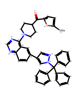 CSc1ccc(C(=O)C2CCN(c3ncnc4ccc(-c5cnn(C(c6ccccc6)(c6ccccc6)c6ccccc6)c5)cc34)CC2)s1